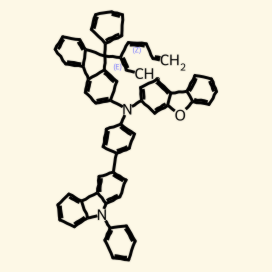 C=C/C=C\C(=C/C)C1(c2ccccc2)c2ccccc2-c2ccc(N(c3ccc(-c4ccc5c(c4)c4ccccc4n5-c4ccccc4)cc3)c3ccc4c(c3)oc3ccccc34)cc21